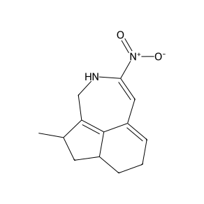 CC1CC2CCC=C3C=C([N+](=O)[O-])NCC1=C32